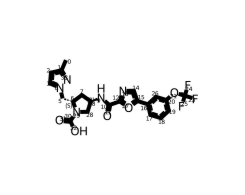 Cc1ccn(C[C@@H]2C[C@@H](NC(=O)c3ncc(-c4cccc(OC(F)(F)F)c4)o3)CN2C(=O)O)n1